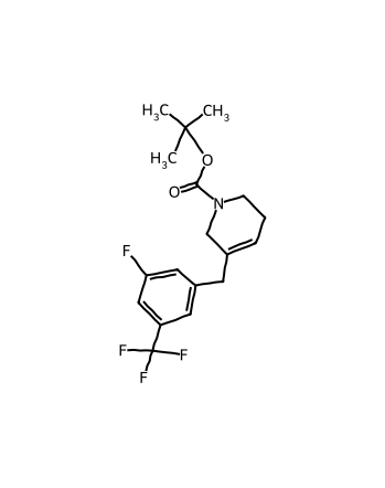 CC(C)(C)OC(=O)N1CCC=C(Cc2cc(F)cc(C(F)(F)F)c2)C1